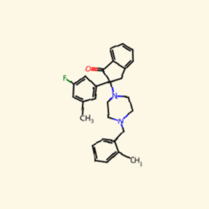 Cc1cc(F)cc(C2(N3CCN(Cc4ccccc4C)CC3)Cc3ccccc3C2=O)c1